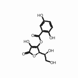 O=C1O[C@H]([C@@H](O)CO)C(OC(=O)c2cc(O)ccc2O)=C1O